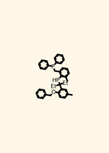 CCC(CC)(Pc1c(C)cccc1CP(c1ccccc1)c1ccccc1)c1cc(C)ccc1OCc1ccccc1